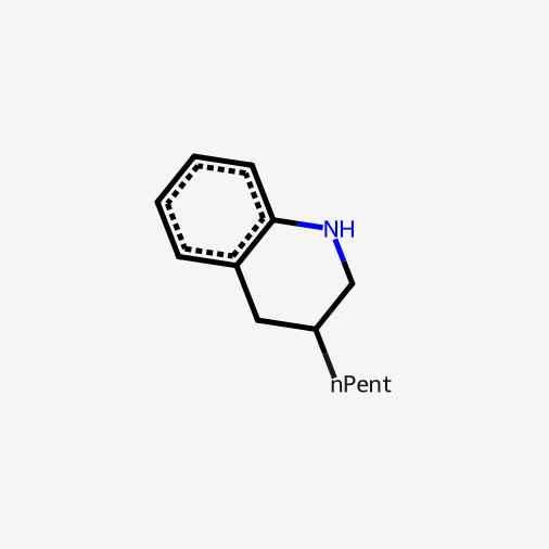 CCCCCC1CNc2ccccc2C1